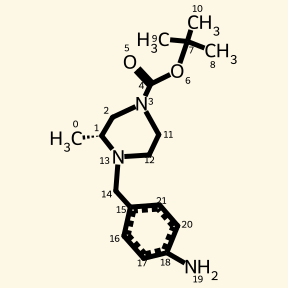 C[C@@H]1CN(C(=O)OC(C)(C)C)CCN1Cc1ccc(N)cc1